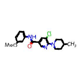 COc1cccc(NC(=O)c2cnc(N3CCC(C)CC3)c(Cl)c2)c1